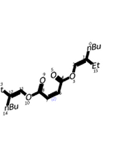 CCCCC(=COC(=O)/C=C\C(=O)OC=C(CC)CCCC)CC